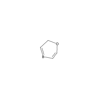 B1=CCOC=C1